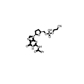 CC(C)C(=O)Nc1nc2c(ncn2[C@H]2CC[C@@H](COP(=O)(O)OCCC#N)O2)c(=O)[nH]1